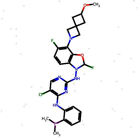 COC1CC2(C1)CN(c1c(F)ccc3c1OC(F)N3Nc1ncc(Cl)c(Nc3ccccc3P(C)C)n1)C2